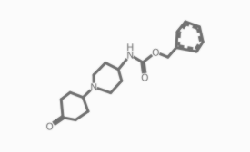 O=C1CCC(N2CCC(NC(=O)OCc3ccccc3)CC2)CC1